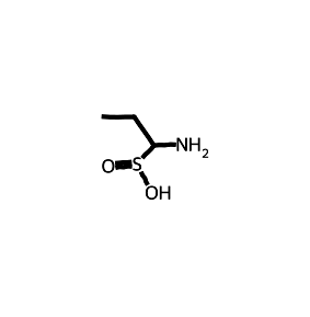 CCC(N)S(=O)O